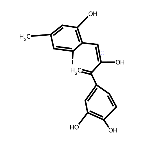 C=C(/C(O)=C\c1c(O)cc(C)cc1I)c1ccc(O)c(O)c1